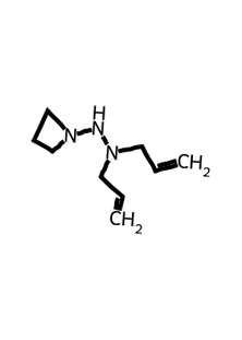 C=CCN(CC=C)NN1CCC1